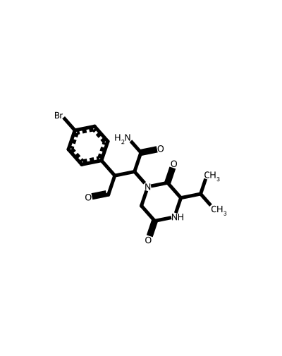 CC(C)C1NC(=O)CN(C(C(N)=O)C(C=O)c2ccc(Br)cc2)C1=O